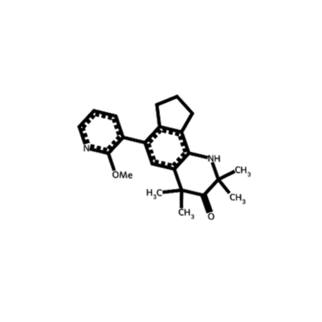 COc1ncccc1-c1cc2c(c3c1CCC3)NC(C)(C)C(=O)C2(C)C